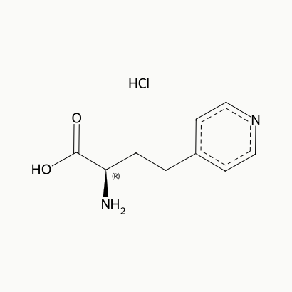 Cl.N[C@H](CCc1ccncc1)C(=O)O